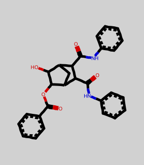 O=C(OC1C(O)C2CC1C(C(=O)Nc1ccccc1)C2C(=O)Nc1ccccc1)c1ccccc1